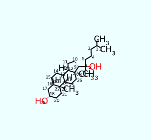 CC(C)CCC[C@](C)(O)[C@H]1CC[C@H]2[C@@H]3CC=C4C[C@@H](O)CC[C@@]4(C)[C@H]3CC[C@@]21C